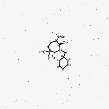 CNC1CCC(C)(C)CN(CC2CCCCS2)C1=O